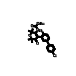 CCc1ccc(-c2ccc(Cl)cc2)cc1C1=C(OC(=O)OCC(C)C)C(C)(C)OC(C)(C)C1=O